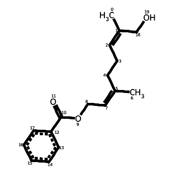 CC(=CCCC(C)=CCOC(=O)c1ccccc1)CO